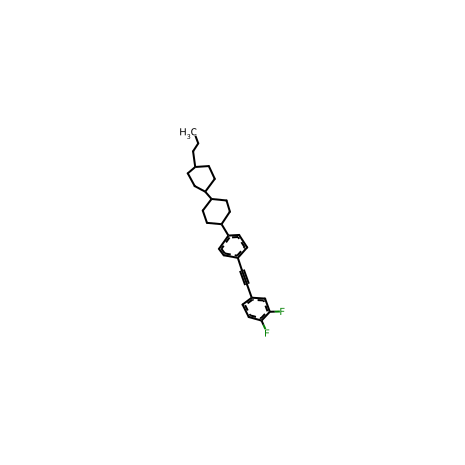 CCCC1CCC(C2CCC(c3ccc(C#Cc4ccc(F)c(F)c4)cc3)CC2)CC1